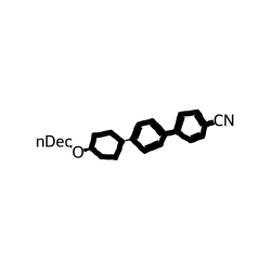 CCCCCCCCCCO[C@H]1CC[C@H](c2ccc(-c3ccc(C#N)cc3)cc2)CC1